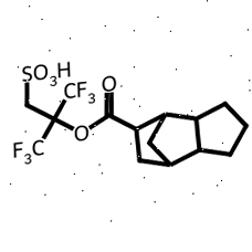 O=C(OC(CS(=O)(=O)O)(C(F)(F)F)C(F)(F)F)C1CC2CC1C1CCCC21